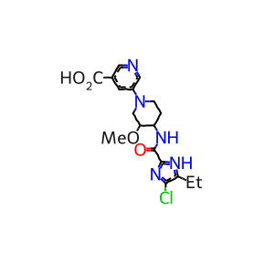 CCc1[nH]c(C(=O)NC2CCN(c3cncc(C(=O)O)c3)CC2OC)nc1Cl